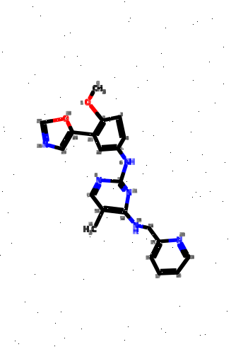 COc1ccc(Nc2ncc(C)c(NCc3ccccn3)n2)cc1-c1cnco1